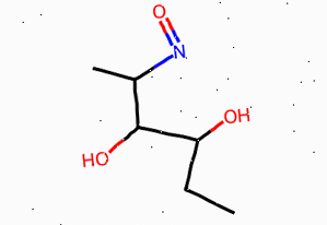 CCC(O)C(O)C(C)N=O